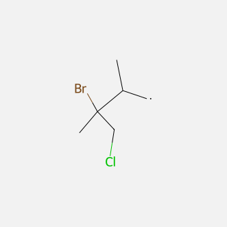 [CH2]C(C)C(C)(Br)CCl